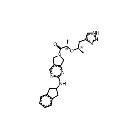 C[C@H](Cc1c[nH]nn1)O[C@H](C)C(=O)N1Cc2cnc(NC3Cc4ccccc4C3)nc2C1